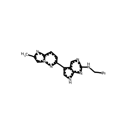 Cc1cn2nc(-c3c[nH]c4nc(NCC(C)C)ncc34)ccc2n1